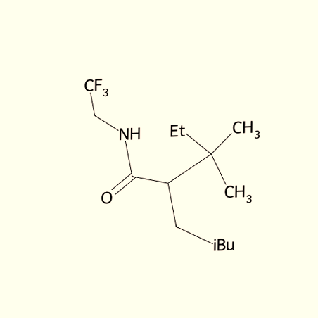 CCC(C)CC(C(=O)NCC(F)(F)F)C(C)(C)CC